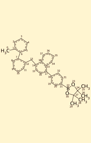 Cc1ccccc1-c1ccccc1Cc1ccc(-c2ccc(B3OC(C)(C)C(C)(C)O3)cc2)c2ccccc12